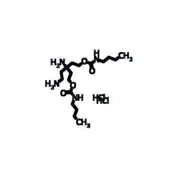 CCCCNC(=O)OCCC(N)(CCN)CCOC(=O)NCCCC.Cl.Cl